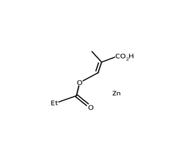 CCC(=O)OC=C(C)C(=O)O.[Zn]